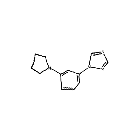 c1cc(N2CCCC2)cc(-n2cncn2)c1